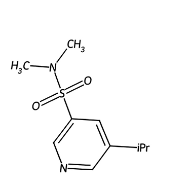 CC(C)c1cncc(S(=O)(=O)N(C)C)c1